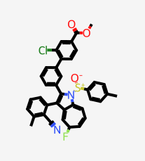 COC(=O)c1ccc(-c2cccc(-c3c(-c4cccc(C)c4C#N)c4c(n3[S+]([O-])c3ccc(C)cc3)=CC=CC(F)C=4)c2)c(Cl)c1